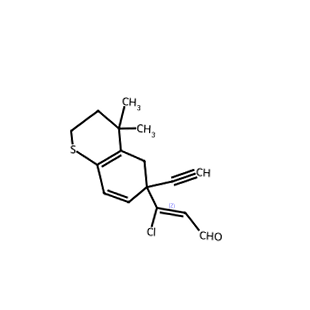 C#CC1(/C(Cl)=C/C=O)C=CC2=C(C1)C(C)(C)CCS2